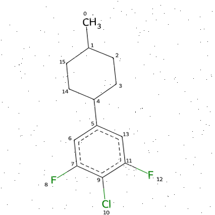 CC1CCC(c2cc(F)c(Cl)c(F)c2)CC1